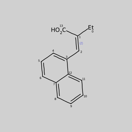 CC/C(=C/c1cccc2ccccc12)C(=O)O